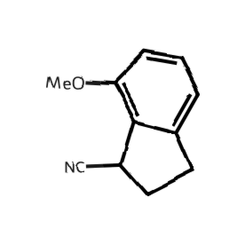 COc1cccc2c1C(C#N)CC2